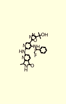 CC1NC(=O)c2ccc(Nc3cc(N[C@H](CF)c4ccccc4)c(-c4nnc(C(C)(C)O)o4)cn3)nc21